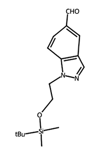 CC(C)(C)[Si](C)(C)OCCn1ncc2cc(C=O)ccc21